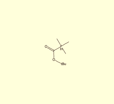 CC(C)(C)OC(=O)[PH](C)(C)C